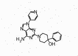 Nc1nc(N2CCC(O)(c3ccccc3)CC2)nc2c1ncn2-c1ccncc1